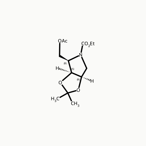 CCOC(=O)N1C[C@H]2OC(C)(C)O[C@H]2[C@H]1COC(C)=O